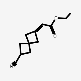 CCOC(=O)C=C1CC2(C1)CC(C#N)C2